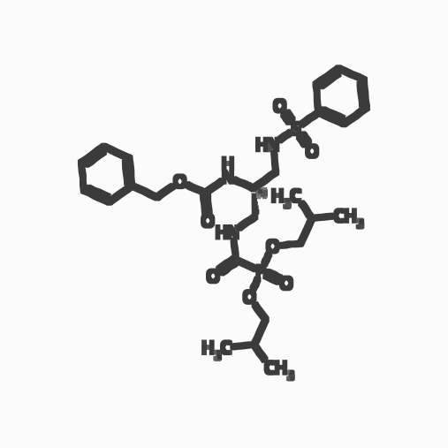 CC(C)COP(=O)(OCC(C)C)C(=O)NC[C@@H](CNS(=O)(=O)c1ccccc1)NC(=O)OCc1ccccc1